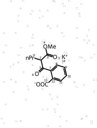 CCCC(C(=O)OC)C(=O)c1ccccc1C(=O)[O-].[K+]